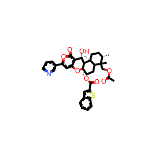 CC(=O)OCC1(C)C2C[C@H](OC(=O)c3cc4ccccc4s3)[C@@]3(C)Oc4cc(-c5cccnc5)oc(=O)c4[C@H](O)C3[C@@]2(C)CC[C@@H]1C